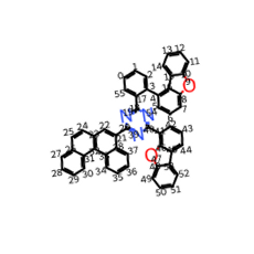 c1ccc(-c2cccc3oc4ccccc4c23)c(-c2nc(-c3cc4ccc5ccccc5c4c4ccccc34)nc(-c3cccc4c3oc3ccccc34)n2)c1